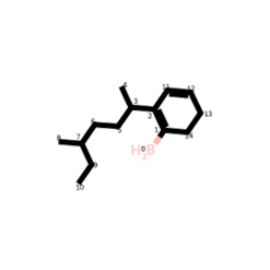 BC1=C(C(C)CCC(C)CC)C=CCC1